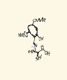 COc1cc(O)c(/C=N/NC(=N)NO)c(OC)c1